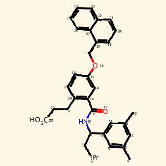 Cc1cc(C)cc(C(CC(C)C)NC(=O)c2cc(OCc3cccc4ccccc34)ccc2CCC(=O)O)c1